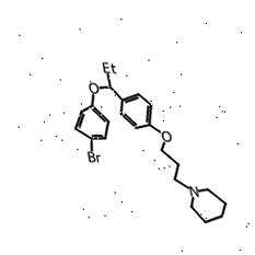 [CH2]CC(Oc1ccc(Br)cc1)c1ccc(OCCCN2CCCCC2)cc1